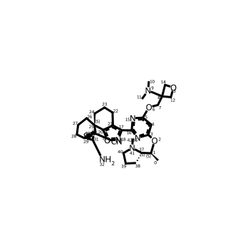 C[C@H](Oc1cc(OCC2(N(C)C)COC2)nc(-c2noc3c2CCC[C@@]32CCCc3sc(N)c(C#N)c32)n1)[C@@H]1CCCN1C